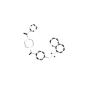 O=C(c1ccc(NS(=O)(=O)c2cccc3cccnc23)cc1)N1CCN(C(=O)c2nccs2)CC1